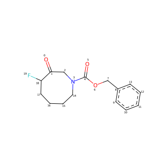 O=C1CN(C(=O)OCc2ccccc2)CCCCC1F